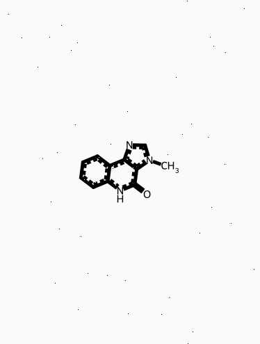 Cn1cnc2c3ccccc3[nH]c(=O)c21